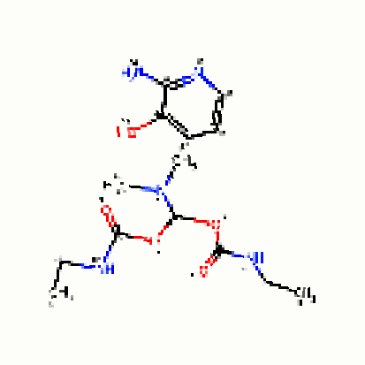 CCNC(=O)OC(OC(=O)NCC)N(C)C.Nc1ncccc1O